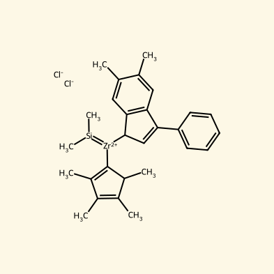 CC1=C(C)C(C)[C]([Zr+2]([CH]2C=C(c3ccccc3)c3cc(C)c(C)cc32)=[Si](C)C)=C1C.[Cl-].[Cl-]